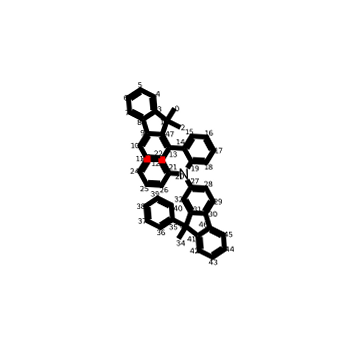 CC1(C)c2ccccc2-c2cccc(-c3ccccc3N(c3ccccc3)c3ccc4c(c3)C(C)(c3ccccc3)c3ccccc3-4)c21